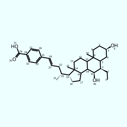 CC[C@@H]1C2C[C@H](O)CCC2(C)C2CCC3(C)C(CC[C@@H]3[C@H](C)C/C=C/c3ccc(C(=O)O)cc3)C2[C@@H]1O